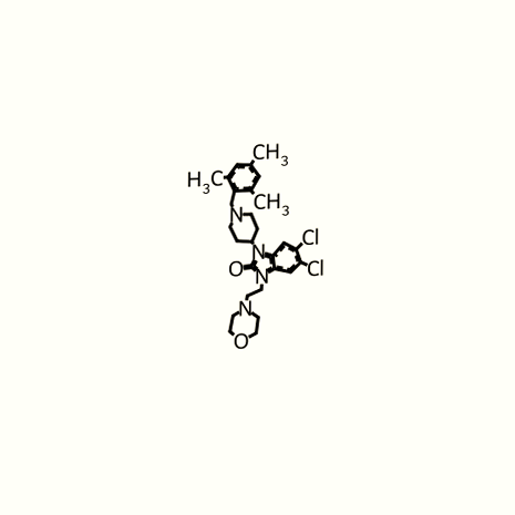 Cc1cc(C)c(CN2CCC(n3c(=O)n(CCN4CCOCC4)c4cc(Cl)c(Cl)cc43)CC2)c(C)c1